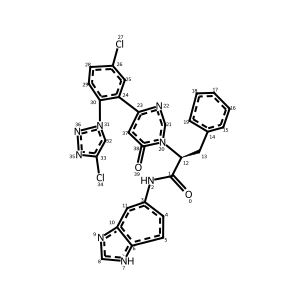 O=C(Nc1ccc2[nH]cnc2c1)[C@H](Cc1ccccc1)n1cnc(-c2cc(Cl)ccc2-n2cc(Cl)nn2)cc1=O